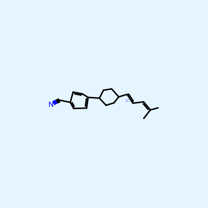 CC(C)=C/C=C/C1CCC(c2ccc(C#N)cc2)CC1